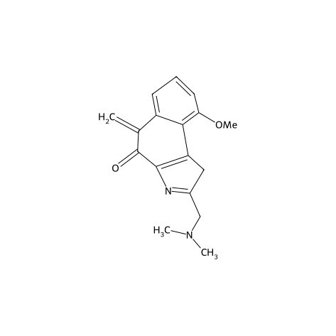 C=C1C(=O)C2=C(CC(CN(C)C)=N2)c2c(OC)cccc21